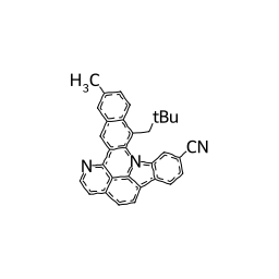 Cc1ccc2c(CC(C)(C)C)c3c(cc2c1)c1nccc2ccc4c5ccc(C#N)cc5n3c4c21